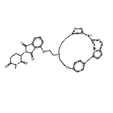 O=C1CCC(N2C(=O)c3cccc(OCCN4CCCn5cc(cn5)Nc5ncc6ccc(n6n5)-c5ccc(cc5)OCC4)c3C2=O)C(=O)N1